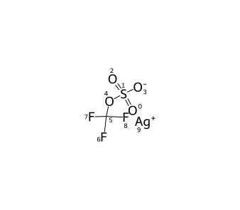 O=S(=O)([O-])OC(F)(F)F.[Ag+]